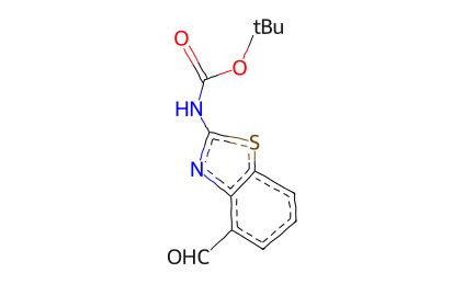 CC(C)(C)OC(=O)Nc1nc2c(C=O)cccc2s1